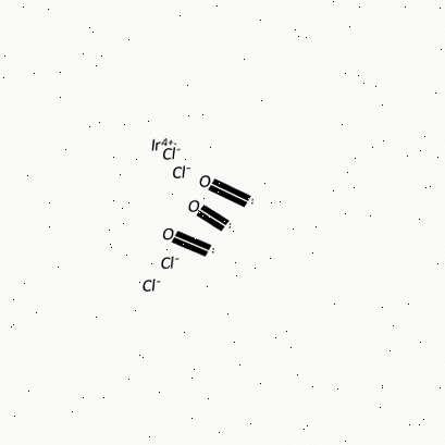 [C]=O.[C]=O.[C]=O.[Cl-].[Cl-].[Cl-].[Cl-].[Ir+4]